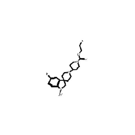 CC(=O)N1CC2(CCN(C3CCN(C(=O)OCCF)CC3)CC2)c2cc(F)ccc21